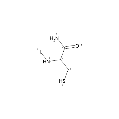 NC(=O)C(CS)NI